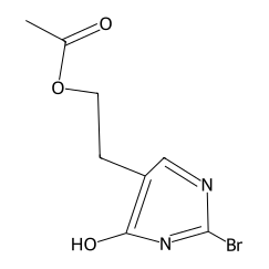 CC(=O)OCCc1cnc(Br)nc1O